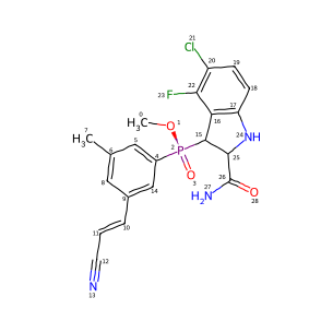 CO[P@@](=O)(c1cc(C)cc(/C=C/C#N)c1)C1c2c(ccc(Cl)c2F)NC1C(N)=O